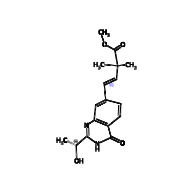 COC(=O)C(C)(C)/C=C/c1ccc2c(=O)[nH]c([C@@H](C)O)nc2c1